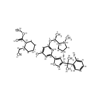 C[C@H](Oc1cc(O[C@H]2CCN(C(=O)OC(C)(C)C)[C@H](CC#N)C2)nc(-c2cc(C(C)(C)c3ccccc3F)no2)n1)[C@@H]1C[C@@H](F)CN1C